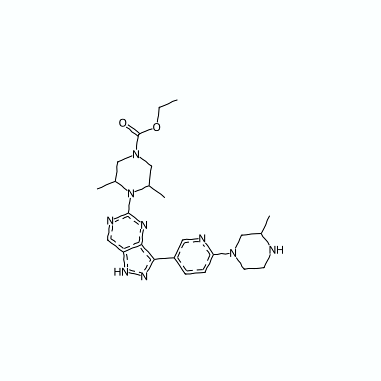 CCOC(=O)N1CC(C)N(c2ncc3[nH]nc(-c4ccc(N5CCNC(C)C5)nc4)c3n2)C(C)C1